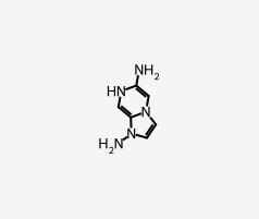 NC1=CN2C=CN(N)C2=CN1